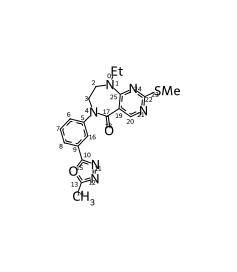 CCN1CCN(c2cccc(-c3nnc(C)o3)c2)C(=O)c2cnc(SC)nc21